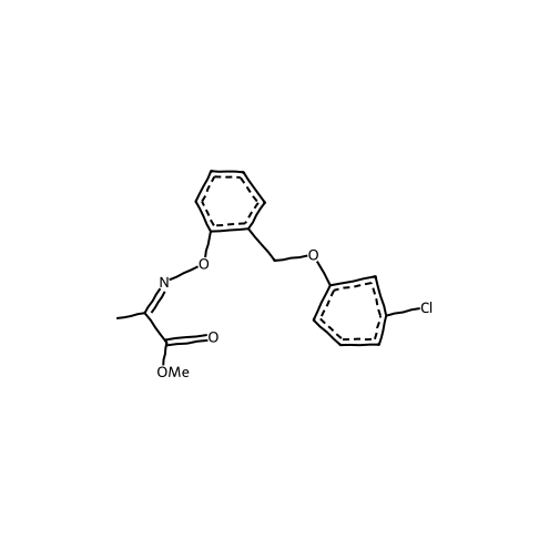 COC(=O)C(C)=NOc1ccccc1COc1cccc(Cl)c1